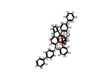 c1ccc(-c2ccc(N(c3ccc4c(c3)C3(c5ccccc5Oc5cc(-c6ccccc6)ccc53)c3ccccc3-4)c3ccccc3-c3ccccc3)cc2)cc1